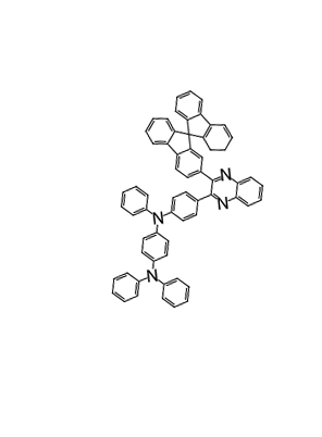 C1=CC2=C(CC1)C1(c3ccccc32)c2ccccc2-c2ccc(-c3nc4ccccc4nc3-c3ccc(N(c4ccccc4)c4ccc(N(c5ccccc5)c5ccccc5)cc4)cc3)cc21